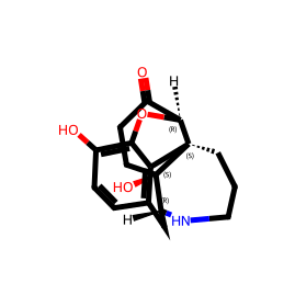 O=C1CC[C@@]2(O)[C@H]3Cc4ccc(O)c5c4[C@@]2(CCCN3)[C@H]1O5